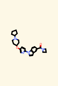 O=C(c1ccc2c(ccn2-c2ccc(OC3CCN(C4CCCC4)CC3)cn2)c1)N1CCC1